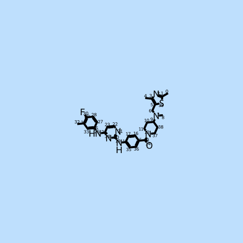 Cc1nc(C)c(CN(C)C2CCN(C(=O)c3ccc(Nc4nccc(Nc5ccc(F)c(C)c5)n4)cc3)CC2)s1